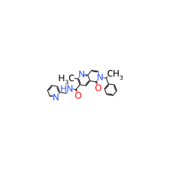 Cc1nc2ccn(C(C)c3ccccc3)c(=O)c2cc1C(=O)NCc1ccccn1